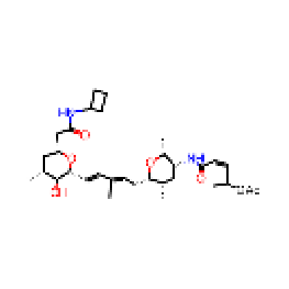 CC(=O)O[C@@H](C)/C=C\C(=O)N[C@@H]1C[C@H](C)[C@H](C/C=C(C)/C=C/[C@H]2O[C@H](CC(=O)NC3CCC3)C[C@@H](C)[C@@H]2O)O[C@@H]1C